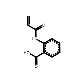 C=CC(=O)Nc1ccccc1C(=O)O